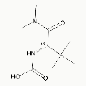 CN(C)C(=O)[C@@H](NC(=O)O)C(C)(C)C